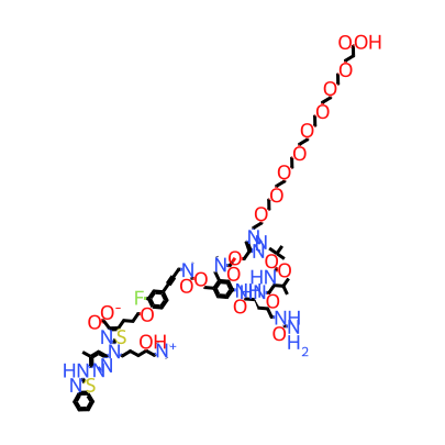 Cc1cc(N(CCCC(O)C[N+](C)(C)C)c2nc(C(=O)[O-])c(CCCOc3ccc(C#CCN(C)C(=O)OCc4ccc(NC(=O)[C@H](CCCNC(N)=O)NC(=O)[C@@H](NC(=O)OC(C)(C)C)C(C)C)cc4CN(C)C(=O)OCc4cn(CCOCCOCCOCCOCCOCCOCCOCCOCCC(=O)O)nn4)cc3F)s2)nnc1Nc1nc2ccccc2s1